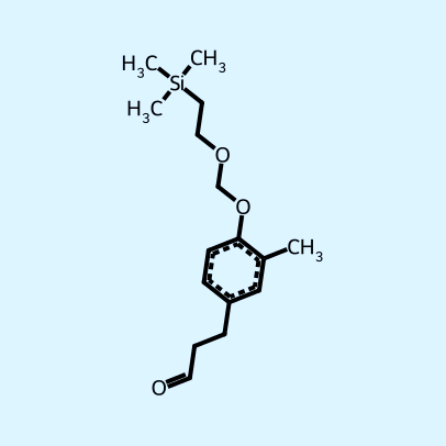 Cc1cc(CCC=O)ccc1OCOCC[Si](C)(C)C